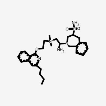 CCCCc1cc2ccccc2c(OCC[N+](C)(C)CC(N)N2Cc3ccccc3CC(S(N)(=O)=O)C2)n1